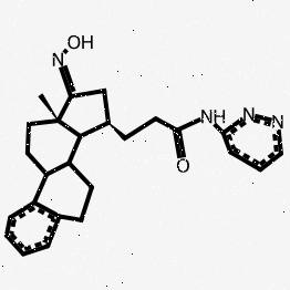 C[C@]12CCC3c4ccccc4CCC3C1[C@H](CCC(=O)Nc1cccnn1)C/C2=N\O